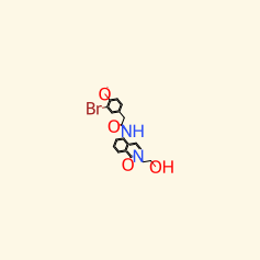 COc1ccc(CC(=O)Nc2cccc3c(=O)n(CCO)ccc23)cc1Br